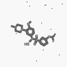 COc1ccc(N(C)S(=O)(=O)c2cccc(OC(F)F)c2)cc1N1CCN(C)CC1.Cl